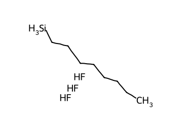 CCCCCCCC[SiH3].F.F.F